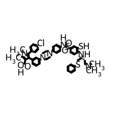 Cc1c(C(=O)O)c(-c2cccc(N3CCN(c4ccc(NS(=O)(=O)c5ccc(N[C@H](CCN(C)C)CSc6ccccc6)c(S)c5)cc4)CC3)c2)c(-c2ccc(Cl)cc2)n1C